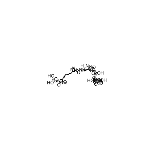 Nc1nc(=O)n([C@H]2CC(O)[C@@H](COP(=O)(O)OP(=O)(O)OP(=O)(O)O)O2)cc1C#CCNC(=O)Cn1cc(CCCCC#Cc2cn([C@H]3CC(O)[C@@H](CO)O3)c(=O)[nH]c2=O)nn1